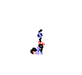 C#CCN1CCN(CCCOc2cc3nc(Nc4ccc5cccoc4-5)c(C#N)cc3cc2OC)CC1